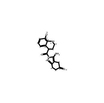 Nc1c2c(nn1C(=O)C1CCNc3c(Cl)cccc31)CCC(=O)C2